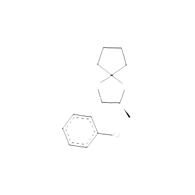 [CH2][C@@H]1OC2(CCCC2)O[C@H]1c1ccccc1N